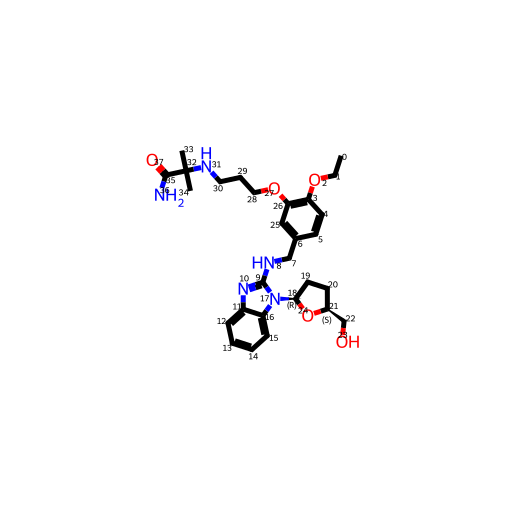 CCOc1ccc(CNc2nc3ccccc3n2[C@H]2CC[C@@H](CO)O2)cc1OCCCNC(C)(C)C(N)=O